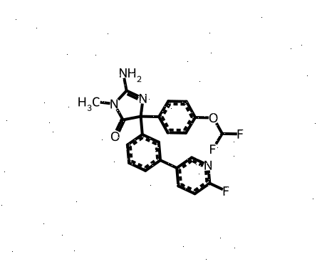 CN1C(=O)C(c2ccc(OC(F)F)cc2)(c2cccc(-c3ccc(F)nc3)c2)N=C1N